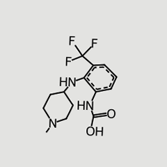 CN1CCC(Nc2c(NC(=O)O)cccc2C(F)(F)F)CC1